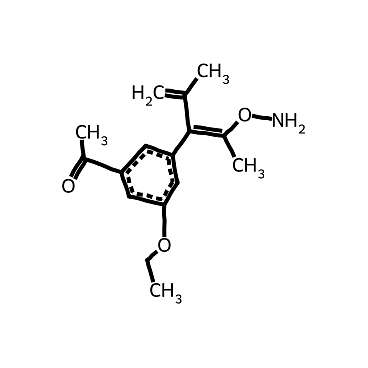 C=C(C)/C(=C(/C)ON)c1cc(OCC)cc(C(C)=O)c1